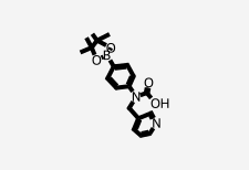 CC1(C)OB(c2ccc(N(Cc3cccnc3)C(=O)O)cc2)OC1(C)C